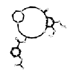 COc1cc2cc(c1OC)OCCCC(OC(=O)c1cccc(OC(F)F)c1)CCN1CCCN(CCCOC2=O)CC1